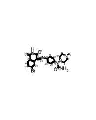 CN1CCN(N(C(N)=O)c2ccc(NC=C3C(=O)NC(=O)c4ccc(Br)cc43)cc2)CC1